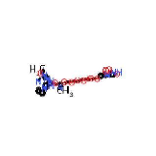 C=CC(=O)N1CCN(c2nc(OC[C@@H]3C[C@@H](OCCOCCOCCOCCOCCOc4ccc5c(c4)CN(C4CCC(=O)NC4=O)C5=O)CN3C)nc3c2CCN(c2cccc4ccccc24)C3)C[C@@H]1CC#N